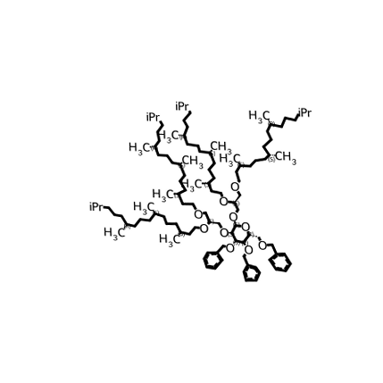 CC(C)CCC[C@@H](C)CCC[C@H](C)CCC[C@H](C)CCOC[C@@H](CO[C@H]1O[C@H](COCc2ccccc2)[C@@H](OCc2ccccc2)[C@H](OCc2ccccc2)[C@@H]1OC[C@H](COCC[C@@H](C)CCC[C@@H](C)CCC[C@H](C)CCCC(C)C)OCC[C@@H](C)CCC[C@@H](C)CCC[C@H](C)CCCC(C)C)OCC[C@@H](C)CCC[C@@H](C)CCC[C@H](C)CCCC(C)C